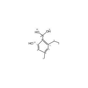 CCc1cc(C)ccc1N(O)O.Cl